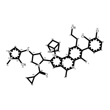 Cc1nc2c(F)c(-c3cccc(Cl)c3Cl)c(CCC#N)cc2c2c1cc(C1CC(Oc3cnn(C)c3C#N)CN1C(=O)C1CC1)n2C1C2CNC1C2